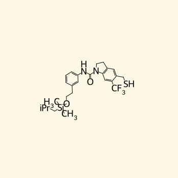 CC(C)C[Si](C)(C)OCCc1cccc(NC(=O)N2CCc3cc(CS)c(C(F)(F)F)cc32)c1